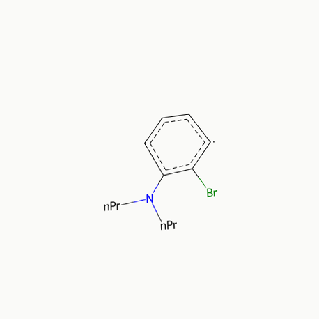 CCCN(CCC)c1ccc[c]c1Br